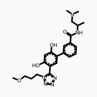 COCCCn1nnnc1-c1cc(-c2cccc(C(=O)NC(C)CN(C)C)c2)c(O)cc1O